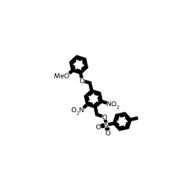 COc1ccccc1OCc1cc([N+](=O)[O-])c(COS(=O)(=O)c2ccc(C)cc2)c([N+](=O)[O-])c1